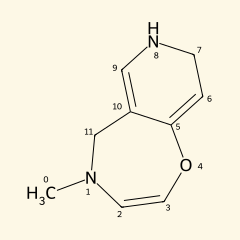 CN1C=COC2=CCNC=C2C1